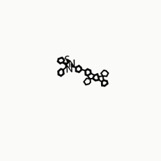 c1ccc(-c2nc(-c3ccc(-c4ccc5c(c4)C4(CCCCC4)c4cc6c(cc4-5)C4(CCCCC4)c4ccccc4-6)cc3)nc3sc4ccccc4c23)cc1